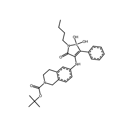 CCCCN1C(=O)C(Nc2ccc3c(c2)CCN(C(=O)OC(C)(C)C)C3)=C(c2ccccc2)S1(O)O